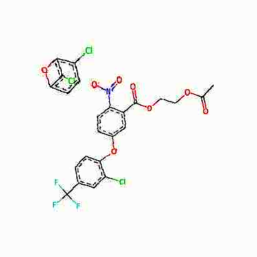 CC(=O)OCCOC(=O)c1cc(Oc2ccc(C(F)(F)F)cc2Cl)ccc1[N+](=O)[O-].Clc1ccc2c(Cl)c1O2